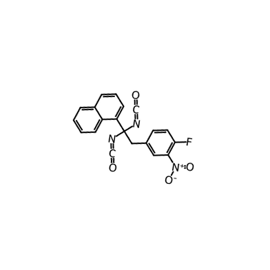 O=C=NC(Cc1ccc(F)c([N+](=O)[O-])c1)(N=C=O)c1cccc2ccccc12